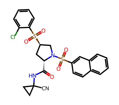 N#CC1(NC(=O)[C@@H]2C[C@@H](S(=O)(=O)c3ccccc3Cl)CN2S(=O)(=O)c2ccc3ccccc3c2)CC1